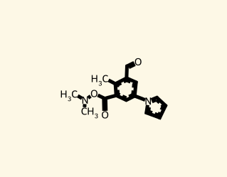 Cc1c(C=O)cc(-n2cccc2)cc1C(=O)ON(C)C